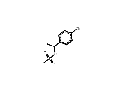 C[C@H](OS(C)(=O)=O)c1ccc(C#N)cc1